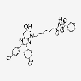 O=C(CCCCCCN1CC(O)Cc2nc(-c3ccc(Cl)cc3)c(-c3ccc(Cl)cc3)nc21)NS(=O)(=O)c1ccccc1